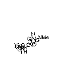 CNc1ccc2c(c1)NC(=O)C(c1ccc(NC(=O)NS(=O)(=O)c3ccc(C)s3)cn1)C2=O